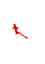 CCCCCCCCCCCCOC(=O)c1cc2c(-c3cc4cc5c(OCC)c6cc7sc(C)cc7cc6c(OCC)c5cc4s3)sc(C)c2s1